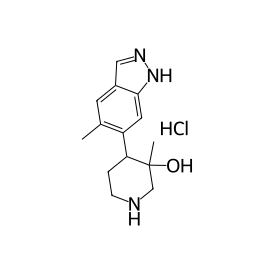 Cc1cc2cn[nH]c2cc1C1CCNCC1(C)O.Cl